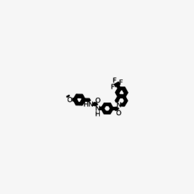 COc1ccc(CNC(=O)NC2CCC(C(=O)N3CCc4ccc(C(F)(F)F)cc4C3)CC2)cc1